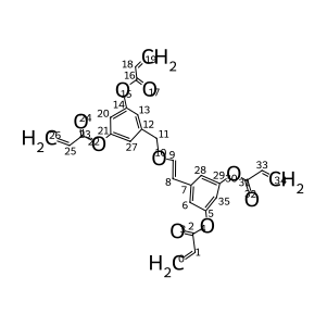 C=CC(=O)Oc1cc(/C=C/OCc2cc(OC(=O)C=C)cc(OC(=O)C=C)c2)cc(OC(=O)C=C)c1